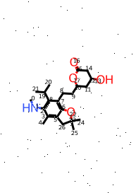 CNc1c(C)c2c(c(CCC3CC(O)CC(=O)O3)c1C(C)C)OC(C)(C)C2